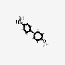 CC(C)Oc1ccc(-c2ccc(BO)cc2)cc1